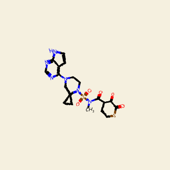 CN(C(=O)C1CCSC(=O)C1=O)S(=O)(=O)N1CCN(c2ncnc3[nH]ccc23)CC12CC2